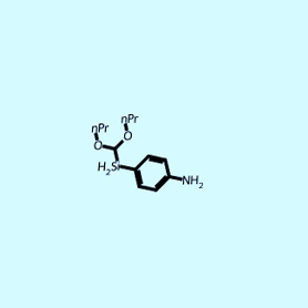 CCCOC(OCCC)[SiH2]c1ccc(N)cc1